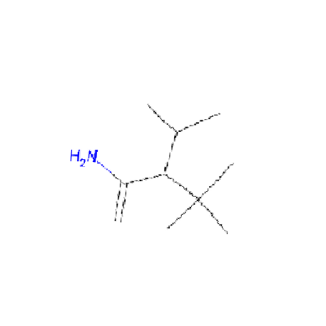 C=C(N)C(C(C)C)C(C)(C)C